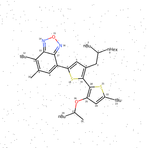 CCCCCCC(CCCC)Cc1cc(-c2cc(C)c(C(C)(C)C)c3nonc23)sc1-c1sc(C(C)(C)C)cc1OC(C)CCCC